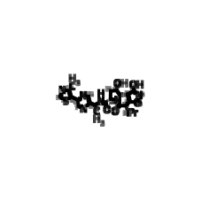 Cc1ncsc1-c1cnc([C@H](C)NC(=O)[C@@H]2C[C@@H](O)CN2C(=O)[C@@H](c2cc(O)no2)C(C)C)cn1